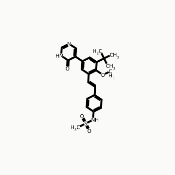 COc1c(/C=C/c2ccc(NS(C)(=O)=O)cc2)cc(-c2cnc[nH]c2=O)cc1C(C)(C)C